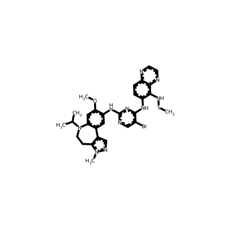 COc1cc2c(cc1Nc1ncc(Br)c(Nc3ccc4nccnc4c3NSC)n1)-c1cnn(C)c1CCN2C(C)C